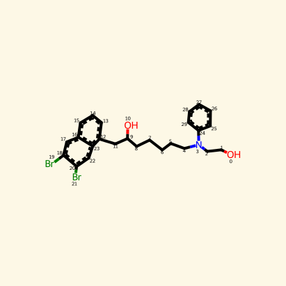 OCCN(CCCCCC(O)Cc1cccc2cc(Br)c(Br)cc12)c1ccccc1